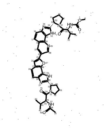 COC(=O)N[C@H](C(=O)N1CCC[C@H]1c1nc2ccc3cc(-c4cc5ccc6nc([C@@H]7CCCN7C(=O)[C@@H](NC(C)=O)C(C)C)[nH]c6c5o4)cnc3c2[nH]1)C(C)C